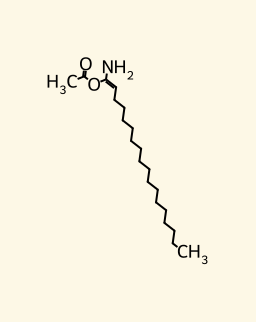 CCCCCCCCCCCCCCCCC=C(N)OC(C)=O